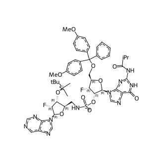 COc1ccc(C(OC[C@H]2O[C@@H](n3cnc4c(=O)[nH]c(NC(=O)C(C)C)nc43)[C@H](OS(=O)(=O)NC[C@H]3O[C@@H](n4cnc5cncnc54)[C@H](F)[C@@H]3O[Si](C)(C)C(C)(C)C)[C@@H]2F)(c2ccccc2)c2ccc(OC)cc2)cc1